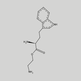 NCCOC(=O)[C@@H](N)CCc1c[nH]c2ccccc12